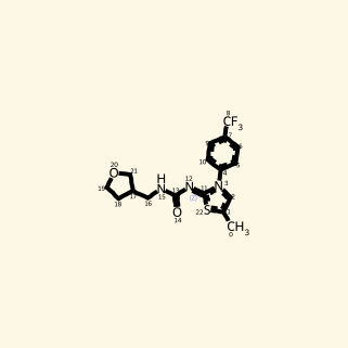 Cc1cn(-c2ccc(C(F)(F)F)cc2)/c(=N/C(=O)NCC2CCOC2)s1